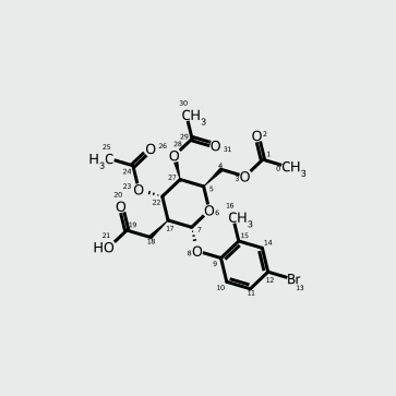 CC(=O)OC[C@H]1O[C@H](Oc2ccc(Br)cc2C)[C@@H](CC(=O)O)[C@H](OC(C)=O)[C@H]1OC(C)=O